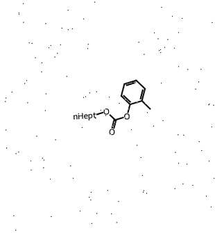 CCCCCCCOC(=O)Oc1ccccc1C